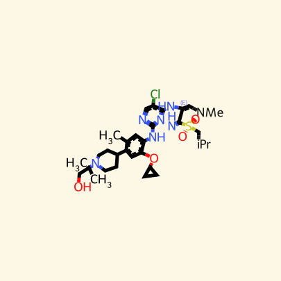 CN/C=C(/Nc1nc(Nc2cc(C)c(C3CCN(C(C)(C)CO)CC3)cc2OC2CC2)ncc1Cl)C(=N)S(=O)(=O)CC(C)C